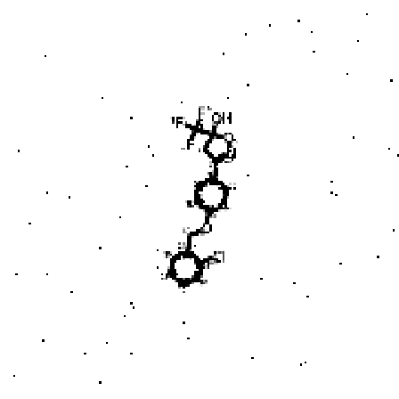 OC1(C(F)(F)F)CC(c2ccc(OCc3ccccc3Cl)cc2)=NO1